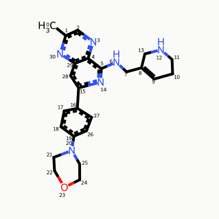 Cc1cnc2c(NCC3=CCCNC3)nc(-c3ccc(N4CCOCC4)cc3)cc2n1